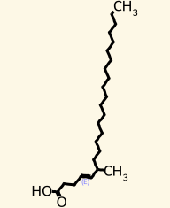 CCCCCCCCCCCCCCCCCCC(C)/C=C/CCC(=O)O